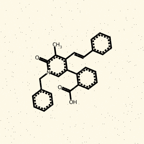 Cc1c(/C=C/c2ccccc2)c(-c2ccccc2C(=O)O)cn(Cc2ccccc2)c1=O